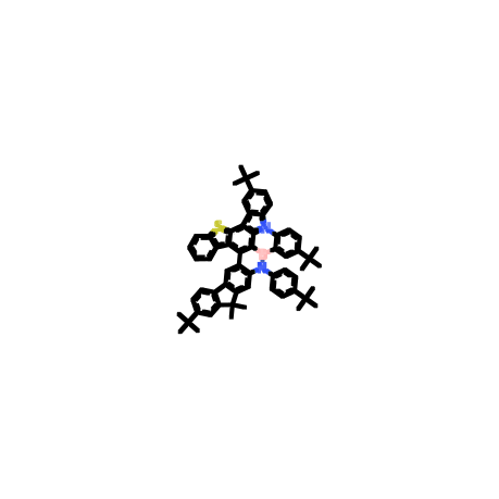 CC(C)(C)c1ccc(N2B3c4cc(C(C)(C)C)ccc4-n4c5ccc(C(C)(C)C)cc5c5c6sc7ccccc7c6c(c3c54)-c3cc4c(cc32)C(C)(C)c2cc(C(C)(C)C)ccc2-4)cc1